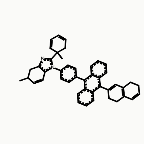 CC1C=Cc2c(nc(C3(C)C=CC=CC3)n2-c2ccc(-c3c4ccccc4c(C4=CC5=C(C=CCC5)CC4)c4ccccc34)cc2)C1